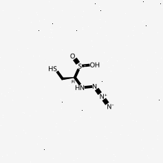 [N-]=[N+]=NN[C@@H](CS)S(=O)O